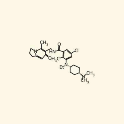 CCN(c1cc(Cl)cc(C(=O)NCc2c(C)n3c(cc2=O)CCC3)c1C)[C@H]1CC[C@H](N(C)C)CC1